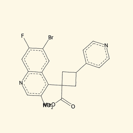 COC(=O)C1(c2c([N+](=O)[O-])cnc3cc(F)c(Br)cc23)CC(c2ccncc2)C1